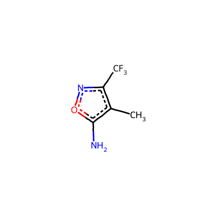 Cc1c(C(F)(F)F)noc1N